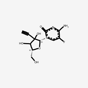 C#CC1(O)C(O)[C@@H](CO)O[C@H]1n1cc(F)c(N)nc1=O